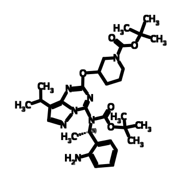 CC(C)c1cnn2c(N(C(=O)OC(C)(C)C)[C@@H](C)c3ccccc3N)nc(OC3CCCN(C(=O)OC(C)(C)C)C3)nc12